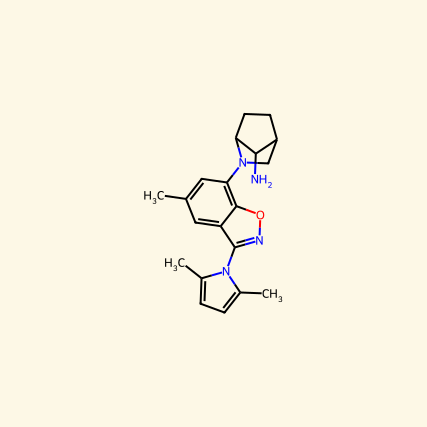 Cc1cc(N2CC3CCC2C3N)c2onc(-n3c(C)ccc3C)c2c1